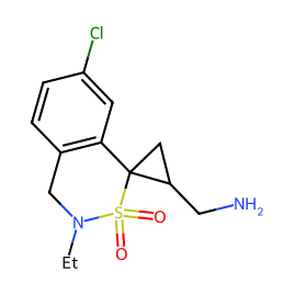 CCN1Cc2ccc(Cl)cc2C2(CC2CN)S1(=O)=O